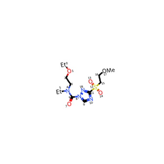 CCOCCN(CC)C(=O)n1cnc(S(=O)(=O)CCOC)n1